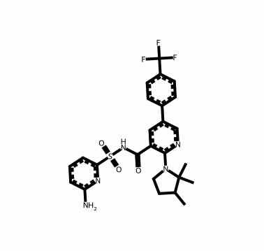 CC1CCN(c2ncc(-c3ccc(C(F)(F)F)cc3)cc2C(=O)NS(=O)(=O)c2cccc(N)n2)C1(C)C